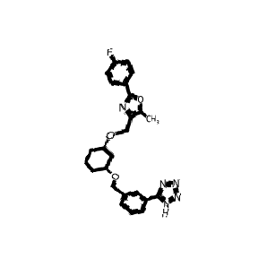 Cc1oc(-c2ccc(F)cc2)nc1CO[C@@H]1CCC[C@H](OCc2cccc(-c3nnn[nH]3)c2)C1